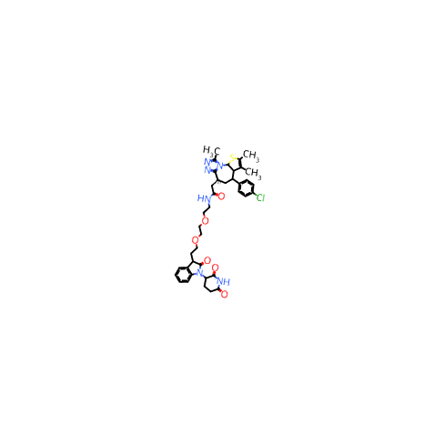 CC1=C(C)C2C(c3ccc(Cl)cc3)C[C@@H](CC(=O)NCCOCCOCCC3C(=O)N(C4CCC(=O)NC4=O)c4ccccc43)c3nnc(C)n3C2S1